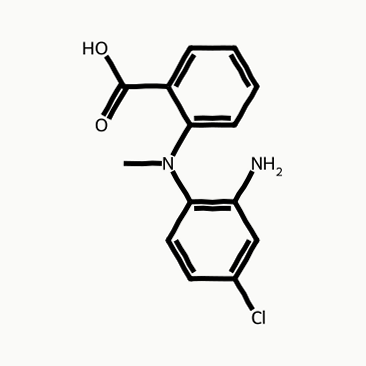 CN(c1ccc(Cl)cc1N)c1ccccc1C(=O)O